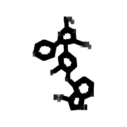 Cc1c[nH]c2nccc(Oc3ccc(-c4c(N)nc(N)nc4-c4ccncc4)cc3F)c12